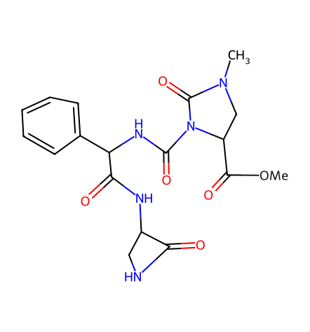 COC(=O)C1CN(C)C(=O)N1C(=O)NC(C(=O)NC1CNC1=O)c1ccccc1